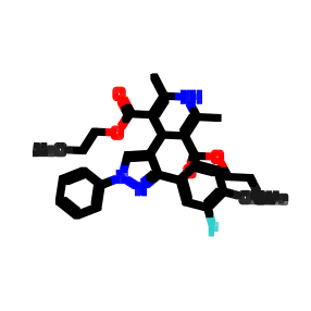 COCCOC(=O)C1=C(C)NC(C)=C(C(=O)OCCOC)C1c1cn(-c2ccccc2)nc1-c1ccc(OC)c(F)c1